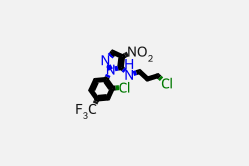 O=[N+]([O-])c1cnn(-c2ccc(C(F)(F)F)cc2Cl)c1NCCCCl